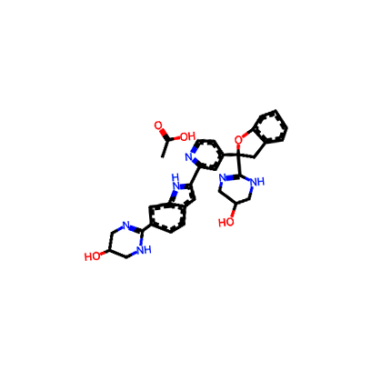 CC(=O)O.OC1CN=C(c2ccc3cc(-c4cc(C5(C6=NCC(O)CN6)Cc6ccccc6O5)ccn4)[nH]c3c2)NC1